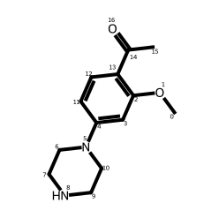 COc1cc(N2CCNCC2)ccc1C(C)=O